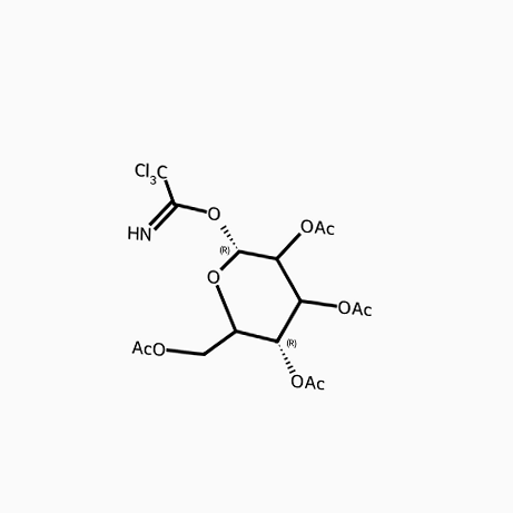 CC(=O)OCC1O[C@H](OC(=N)C(Cl)(Cl)Cl)C(OC(C)=O)C(OC(C)=O)[C@@H]1OC(C)=O